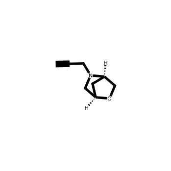 C#CCN1C[C@H]2C[C@@H]1CO2